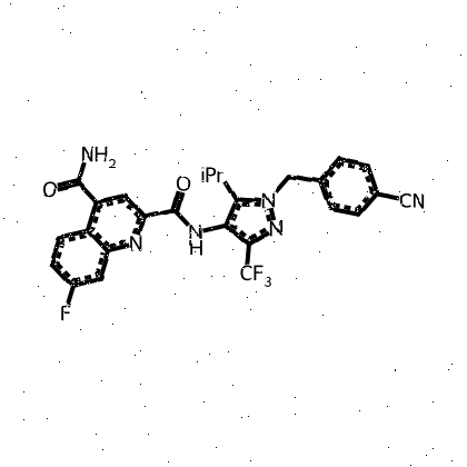 CC(C)c1c(NC(=O)c2cc(C(N)=O)c3ccc(F)cc3n2)c(C(F)(F)F)nn1Cc1ccc(C#N)cc1